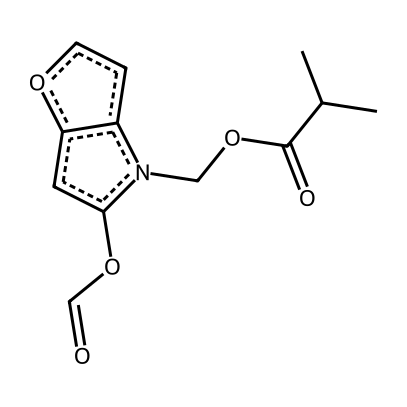 CC(C)C(=O)OCn1c(OC=O)cc2occc21